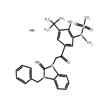 Br.CN(c1cc(C(=O)Cn2c(=N)n(Cc3ccccc3)c3ccccc32)cc(C(C)(C)C)c1O)S(C)(=O)=O